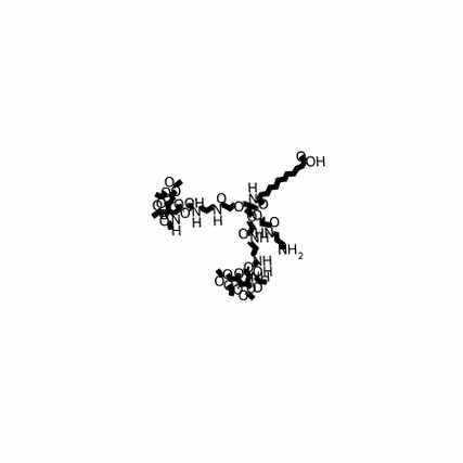 CC(=O)NC1C(OC(C)=O)[C@H](OC(C)=O)C(COC(C)=O)O[C@H]1OC(O)NCCCNC(=O)CCOCC(COCCC(=O)NCCCN)(COCCC(=O)NCCCNC(O)O[C@@H]1OC(COC(C)=O)[C@@H](OC(C)=O)C(OC(C)=O)C1NC(C)=O)NC(=O)CCCCCCCCCCC(=O)O